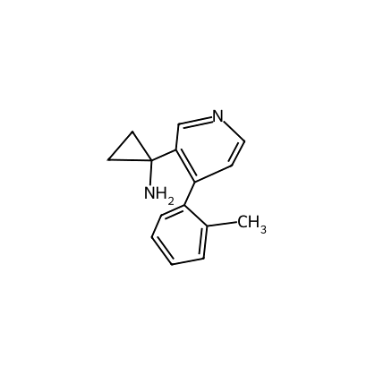 Cc1ccccc1-c1ccncc1C1(N)CC1